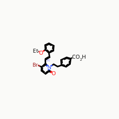 CCOc1ccccc1/C=C/c1c(Br)ccc(=O)n1CCc1ccc(C(=O)O)cc1